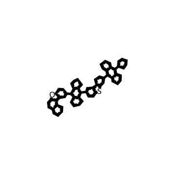 c1ccc(-c2c3ccccc3c(-c3ccc4c(c3)sc3ccc(-c5c6ccccc6c(-c6ccc7oc8ccc9ccccc9c8c7c6)c6ccccc56)cc34)c3ccccc23)cc1